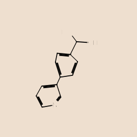 CC(O)c1ccc(-c2cccnc2)cc1